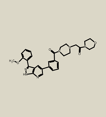 COc1ccccc1-c1n[nH]c2ncc(-c3cccc(C(=O)N4CCN(CC(=O)N5CCOCC5)CC4)c3)cc12